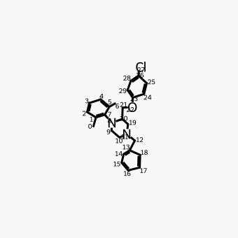 Cc1cccc(C)c1N1CCN(Cc2ccccc2)CC1COc1ccc(Cl)cc1